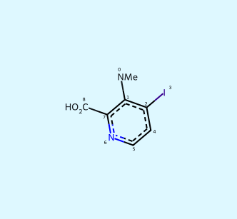 CNc1c(I)ccnc1C(=O)O